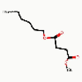 CC(C)(C)CCCCCOC(=O)CCC(=O)OC(C)(C)C